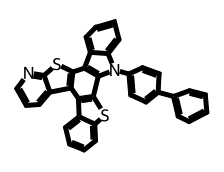 c1ccc(-c2ccc(-n3c4ccccc4c4c5sc6ncccc6c5c5c6ccccc6sc5c43)cc2)cc1